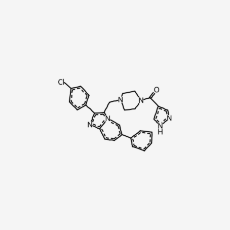 O=C(c1cn[nH]c1)N1CCN(Cc2c(-c3ccc(Cl)cc3)nc3ccc(-c4ccccc4)cn23)CC1